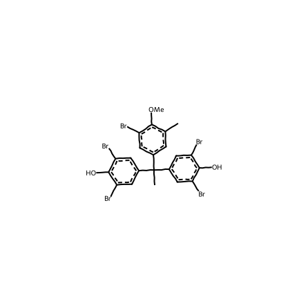 COc1c(C)cc(C(C)(c2cc(Br)c(O)c(Br)c2)c2cc(Br)c(O)c(Br)c2)cc1Br